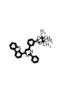 CC1(C)OB(c2cccc(-c3cc(-c4cccc5c4sc4ccccc45)nc(-c4ccccc4)n3)c2)OC1(C)C